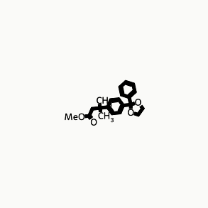 COC(=O)CC(C)(C)c1ccc(C2(c3ccccc3)OCCO2)cc1